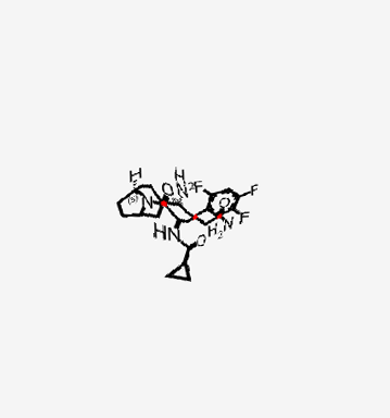 NC(=O)CCC(NC(=O)C1CC1)C(=O)N1C2CC[C@H]1CC([C@H](N)Cc1cc(F)c(F)cc1F)C2